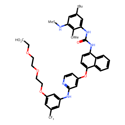 COc1c(NSC)cc(C(C)(C)C)cc1NC(=O)Nc1ccc(Oc2ccnc(Nc3cc(OCCOCCOCC(=O)O)cc(C(F)(F)F)c3)c2)c2ccccc12